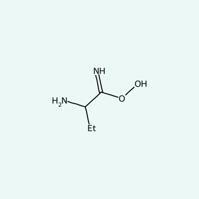 CCC(N)C(=N)OO